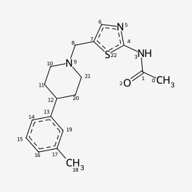 CC(=O)Nc1ncc(CN2CCC(c3cccc(C)c3)CC2)s1